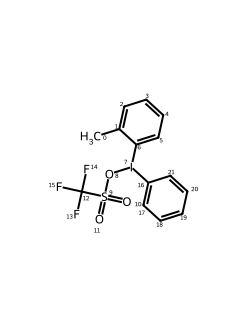 Cc1ccccc1I(OS(=O)(=O)C(F)(F)F)c1ccccc1